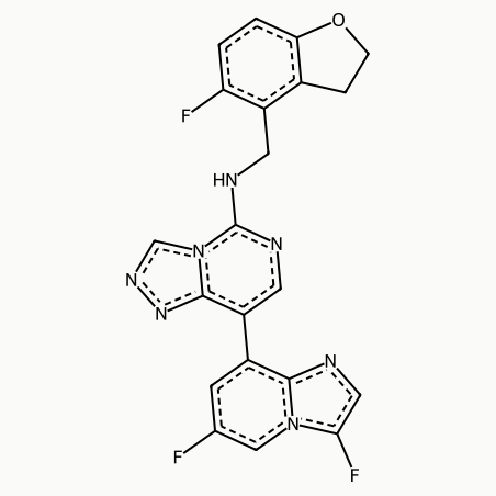 Fc1cc(-c2cnc(NCc3c(F)ccc4c3CCO4)n3cnnc23)c2ncc(F)n2c1